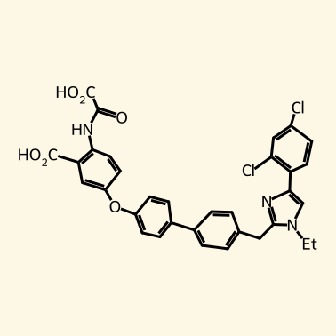 CCn1cc(-c2ccc(Cl)cc2Cl)nc1Cc1ccc(-c2ccc(Oc3ccc(NC(=O)C(=O)O)c(C(=O)O)c3)cc2)cc1